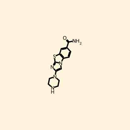 NC(=O)c1ccc2c(c1)sc1nc(N3CCNCC3)cn12